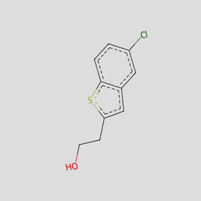 OCCc1cc2cc(Cl)ccc2s1